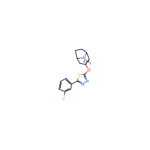 CN1C2CCC1CC(Oc1nnc(-c3cccc(F)c3)s1)C2